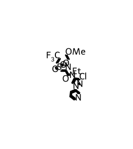 CCN(C(=O)C(CS(=O)(=O)CCC(F)(F)F)=NOCCOC)c1cn(-c2cccnc2)nc1Cl